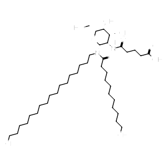 CCCCCCCCCCCCCCCCCCN(C(=O)CCCCCCCCCCC)[C@@H]1O[C@H](CO)[C@H](O)[C@H](O)[C@H]1NC(=O)CCCC(=O)O